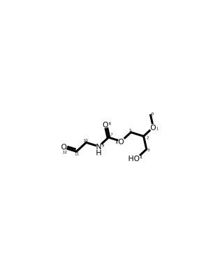 COC(CO)COC(=O)NCC=O